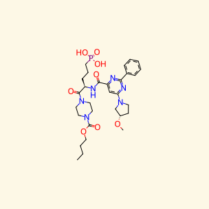 CCCCOC(=O)N1CCN(C(=O)[C@@H](CCCP(=O)(O)O)NC(=O)c2cc(N3CC[C@H](OC)C3)nc(-c3ccccc3)n2)CC1